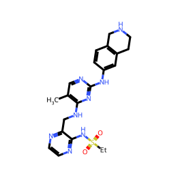 CCS(=O)(=O)Nc1nccnc1CNc1nc(Nc2ccc3c(c2)CCNC3)ncc1C